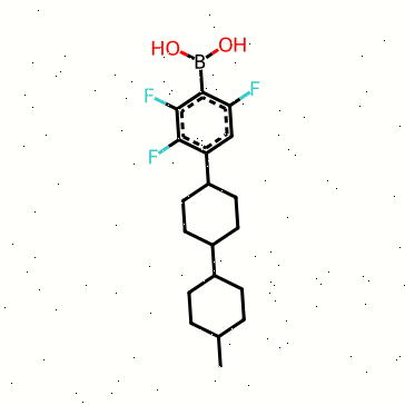 CC1CCC(C2CCC(c3cc(F)c(B(O)O)c(F)c3F)CC2)CC1